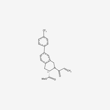 C=CC(=O)N1Cc2cc(-c3ccc(C(F)(F)F)cc3)ccc2C[C@H]1C(=O)OC